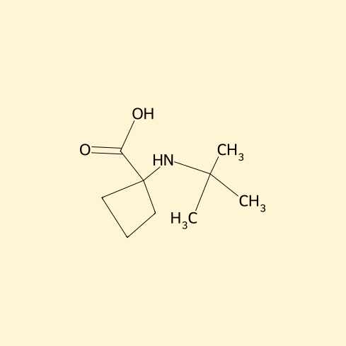 CC(C)(C)NC1(C(=O)O)CCC1